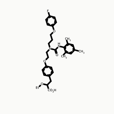 CCOC(Cc1ccc(OCCN(CCCOc2ccc(F)cc2)C(=O)Nc2c(C)cc(C)cc2C)cc1)C(=O)O